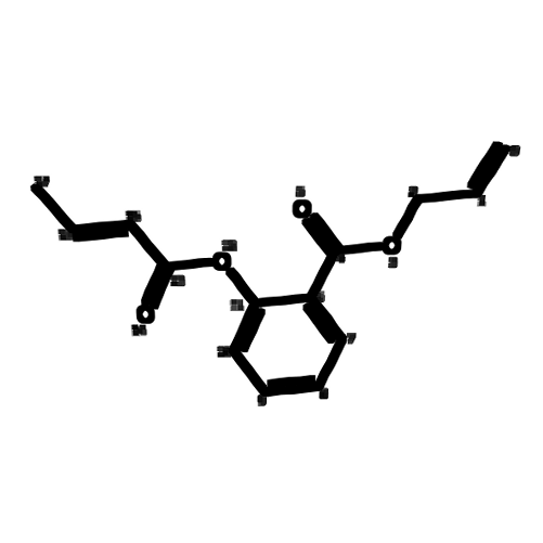 C=CCOC(=O)c1ccccc1OC(=O)C=CC